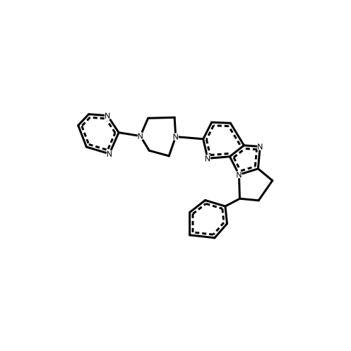 c1ccc(C2CCc3nc4ccc(N5CCN(c6ncccn6)CC5)nc4n32)cc1